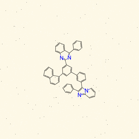 c1ccc(-c2nc3ccccn3c2-c2cccc(-c3cc(-c4nc(-c5ccccc5)c5ccccc5n4)cc(-c4cccc5ccccc45)c3)c2)cc1